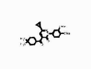 COc1ccc(-n2nc(C3CC3)cc(C(=O)C3CCC(C)(C)CC3)c2=O)cc1OC